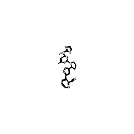 Cc1cc(Nc2nccs2)nc(N2CCCC2c2cc(-c3cccnc3C#N)no2)n1